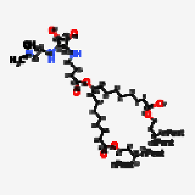 CCCCCC(CCCCC)CCOC(=O)CCCCCCCC(CCCCCCCC(=O)OCCC(CCCCC)CCCCC)OC(=O)CCCNc1c(NCCN(C)C)c(=O)c1=O